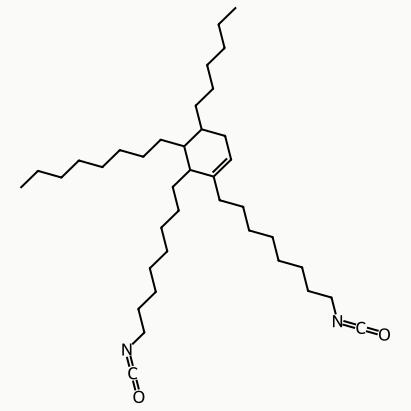 CCCCCCCCC1C(CCCCCC)CC=C(CCCCCCCCN=C=O)C1CCCCCCCCN=C=O